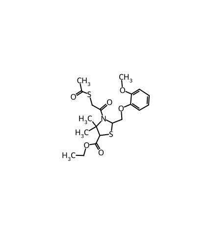 CCOC(=O)C1SC(COc2ccccc2OC)N(C(=O)CSC(C)=O)C1(C)C